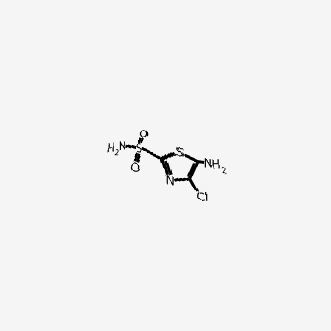 Nc1sc(S(N)(=O)=O)nc1Cl